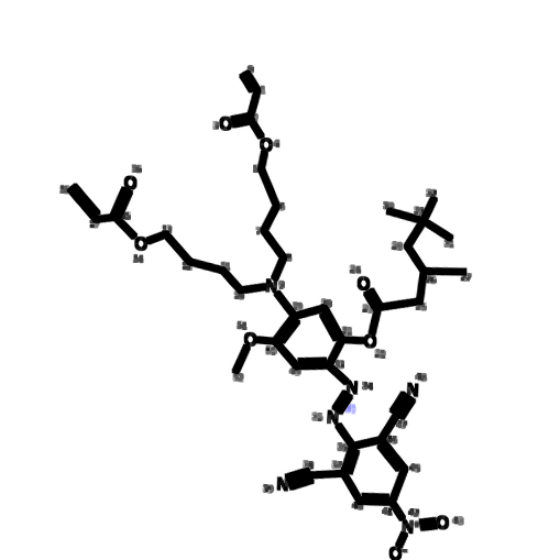 C=CC(=O)OCCCCN(CCCCOC(=O)C=C)c1cc(OC(=O)CC(C)CC(C)(C)C)c(/N=N/c2c(C#N)cc([N+](=O)[O-])cc2C#N)cc1OC